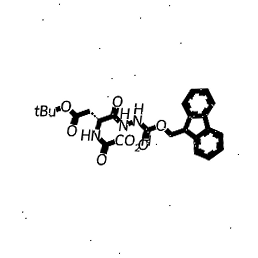 CC(C)(C)OC(=O)C[C@@H](NC(=O)C(=O)O)C(=O)NNC(=O)OCC1c2ccccc2-c2ccccc21